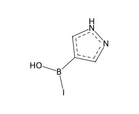 OB(I)c1cn[nH]c1